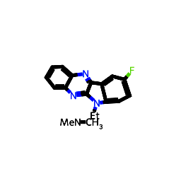 CCn1c2ccc(F)cc2c2nc3ccccc3nc21.CNC